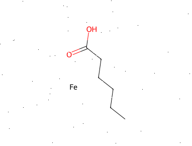 CCCCCC(=O)O.[Fe]